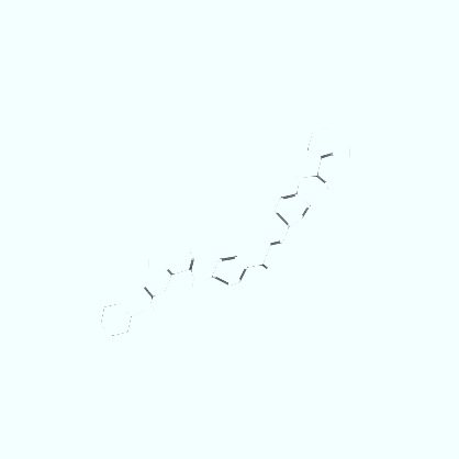 C=C(CO)C(=O)Oc1ccc(/C=C/C(=O)c2ccc(OC(=O)C(=C)CC(=O)OC3CCCCC3)cc2)cc1